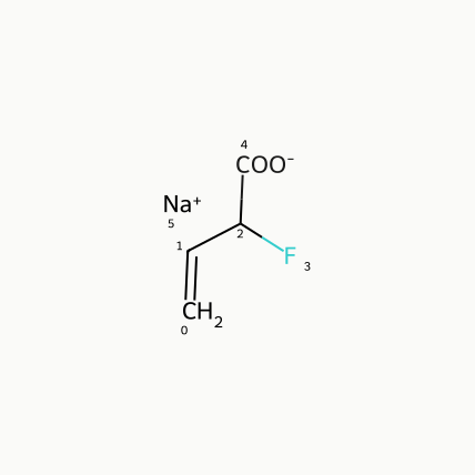 C=CC(F)C(=O)[O-].[Na+]